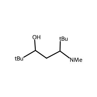 CNC(CC(O)C(C)(C)C)C(C)(C)C